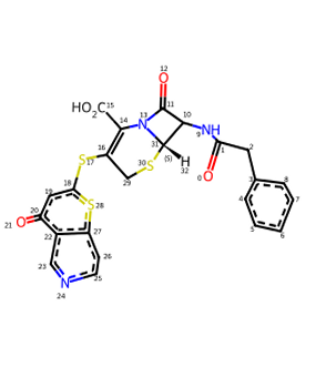 O=C(Cc1ccccc1)NC1C(=O)N2C(C(=O)O)=C(Sc3cc(=O)c4cnccc4s3)CS[C@@H]12